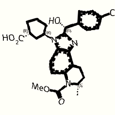 COC(=O)N1c2ccc3c(nc([C@H](O)c4ccc(Cl)cc4)n3[C@@H]3CCC[C@@H](C(=O)O)C3)c2CC[C@@H]1C